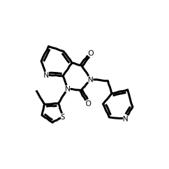 Cc1ccsc1-n1c(=O)n(Cc2ccncc2)c(=O)c2cccnc21